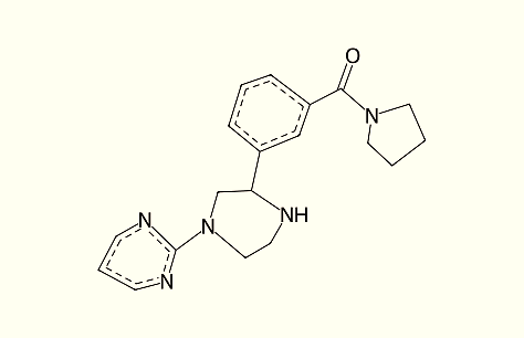 O=C(c1cccc(C2CN(c3ncccn3)CCN2)c1)N1CCCC1